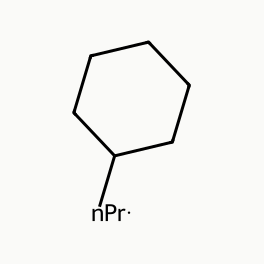 CC[CH]C1CCCCC1